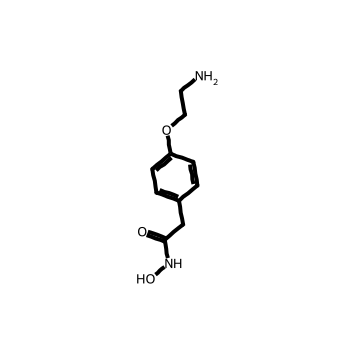 NCCOc1ccc(CC(=O)NO)cc1